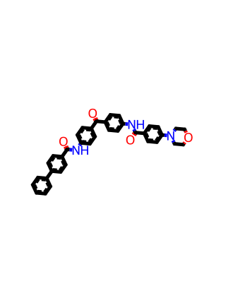 O=C(Nc1ccc(C(=O)c2ccc(NC(=O)c3ccc(N4CCOCC4)cc3)cc2)cc1)c1ccc(-c2ccccc2)cc1